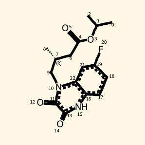 CC(C)OC(=O)C[C@@H](C)Cn1c(=O)c(=O)[nH]c2ccc(F)cc21